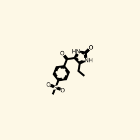 CCc1[nH]c(=O)[nH]c1C(=O)c1ccc(S(C)(=O)=O)cc1